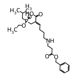 CCOP(=O)(C/C(=C\CCCNCCC(=O)OCc1ccccc1)C(=O)O)CC(C)C